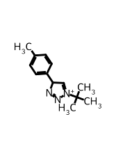 Cc1ccc(C2C=[N+](C(C)(C)C)N=N2)cc1